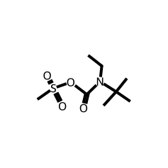 CCN(C(=O)OS(C)(=O)=O)C(C)(C)C